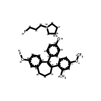 Cc1cc(OC(F)(F)F)ccc1C1=C(c2ccc(O[C@H]3CCN(CCCF)C3)cc2)c2ccc(OF)cc2CCC1